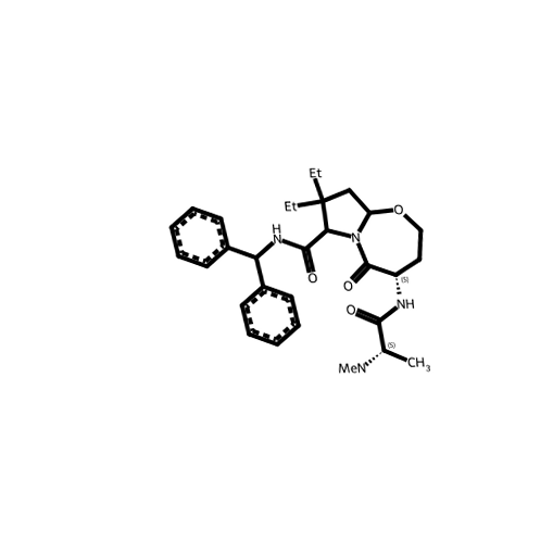 CCC1(CC)CC2OCC[C@H](NC(=O)[C@H](C)NC)C(=O)N2C1C(=O)NC(c1ccccc1)c1ccccc1